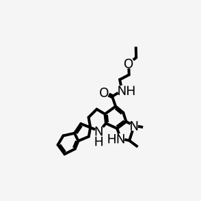 CCOCCNC(=O)c1cc2c(c3c1CCC1(C=C4CC=CC=C4C1)N3)NC(C)N2C